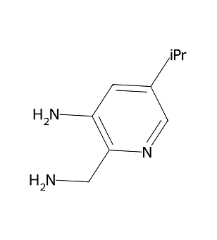 CC(C)c1cnc(CN)c(N)c1